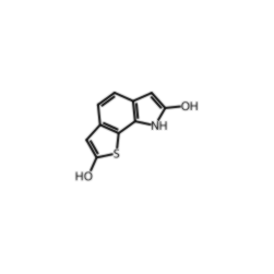 Oc1cc2ccc3cc(O)sc3c2[nH]1